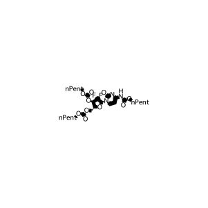 CCCCCOC(=O)Nc1ccn([C@@H]2O[C@H](COC(=O)OCCCCC)[C@@H](OC(=O)OCCCCC)C2(F)F)c(=O)n1